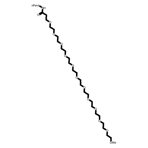 CCCCCNC(=O)CCOCCOCCOCCOCCOCCOCCOCCOCCOCCOCCOCCOC